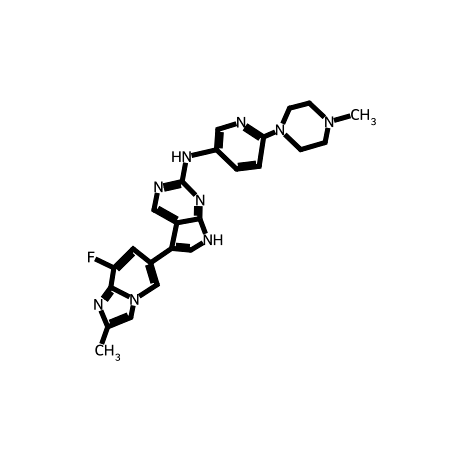 Cc1cn2cc(-c3c[nH]c4nc(Nc5ccc(N6CCN(C)CC6)nc5)ncc34)cc(F)c2n1